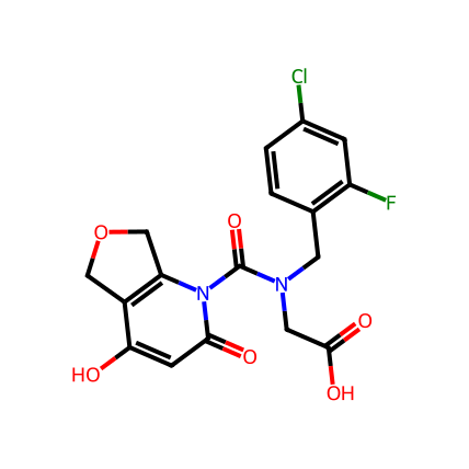 O=C(O)CN(Cc1ccc(Cl)cc1F)C(=O)n1c2c(c(O)cc1=O)COC2